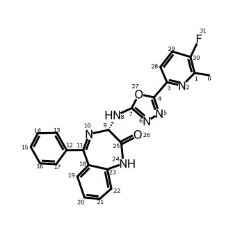 Cc1nc(-c2nnc(N[C@H]3N=C(c4ccccc4)c4ccccc4NC3=O)o2)ccc1F